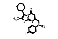 CCN(Cc1cc(=O)n2c(C3CCCCC3)c(C)sc2n1)c1ccc(F)cc1